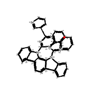 c1ccc(-c2nc(-c3cccnc3)nc(-n3c4ccccc4c4ccc5c6ccccc6n(-c6nc7ccccc7o6)c5c43)n2)nc1